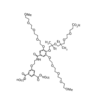 CCCCCCCCOC(=O)c1cc(OCCNC(=O)c2cc(OCCOCCOCCOCCOC)c(OCC(C)(CC)OCC(C)(CC)COCCOCCC(=O)O)c(OCCOCCOCCOCCOC)c2)cc(C(=O)OCCCCCCCC)c1